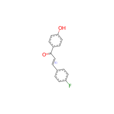 O=C(/C=C/c1ccc(F)cc1)c1ccc(O)cc1